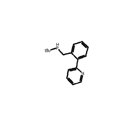 CC(C)(C)PCc1ccccc1-c1ccccn1